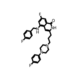 O=c1[nH]c(CCCN2CCN(c3ccc(F)cc3)CC2)cc2c(NCc3ccc(F)cc3)cc(F)cc12